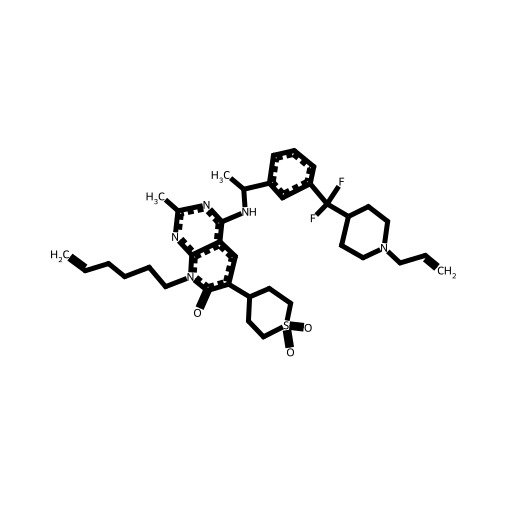 C=CCCCCn1c(=O)c(C2CCS(=O)(=O)CC2)cc2c(NC(C)c3cccc(C(F)(F)C4CCN(CC=C)CC4)c3)nc(C)nc21